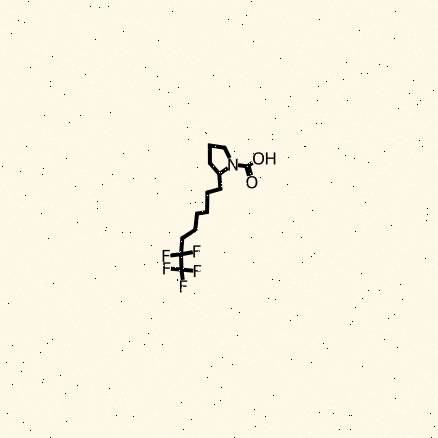 O=C(O)N1CCCC1CCCCCCC(F)(F)C(F)(F)F